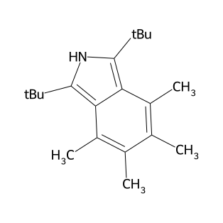 Cc1c(C)c(C)c2c(C(C)(C)C)[nH]c(C(C)(C)C)c2c1C